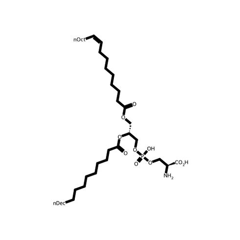 CCCCCCCC/C=C\CCCCCCCC(=O)OC[C@H](COP(=O)(O)OC[C@H](N)C(=O)O)OC(=O)CCCCCCCCCCCCCCCCCC